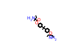 CCC(N)(CC)Oc1ccc(C(C)(C)c2ccc(OC(=O)C(C)(N)CC)cc2)cc1